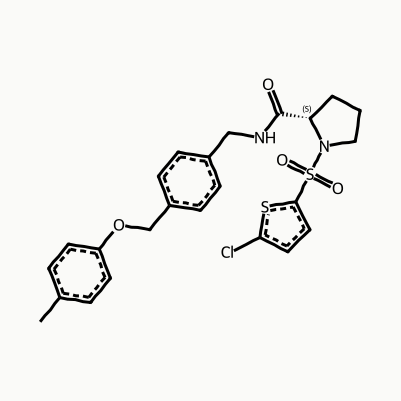 Cc1ccc(OCc2ccc(CNC(=O)[C@@H]3CCCN3S(=O)(=O)c3ccc(Cl)s3)cc2)cc1